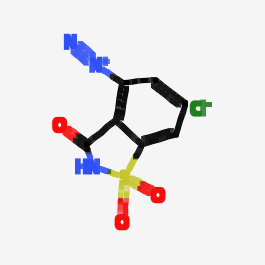 N#[N+]c1cccc2c1C(=O)NS2(=O)=O.[Cl-]